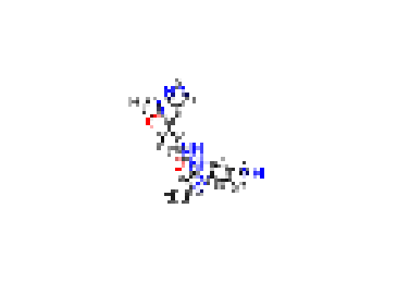 Cn1c(=O)c(-c2cccc(NC(=O)Nc3cc(C(C)(C)C)nn3-c3ccc4c(c3)CCNC4)c2)cc2cncnc21